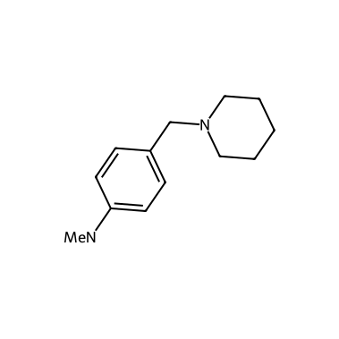 [CH2]Nc1ccc(CN2CCCCC2)cc1